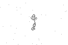 O=C1c2ccccc2OCCN1CCCN1CCN(c2ccccn2)CC1